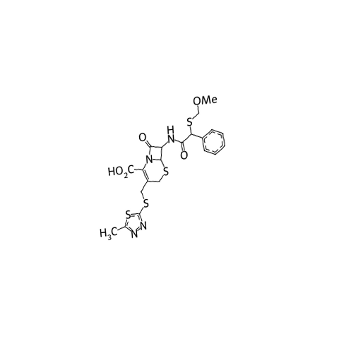 COCSC(C(=O)NC1C(=O)N2C(C(=O)O)=C(CSc3nnc(C)s3)CSC12)c1ccccc1